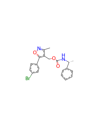 Cc1noc(-c2ccc(Br)cc2)c1COC(=O)N[C@H](C)c1ccccc1